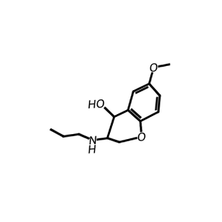 CCCNC1COc2ccc(OC)cc2C1O